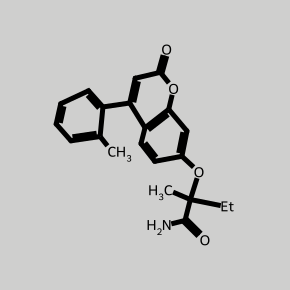 CCC(C)(Oc1ccc2c(-c3ccccc3C)cc(=O)oc2c1)C(N)=O